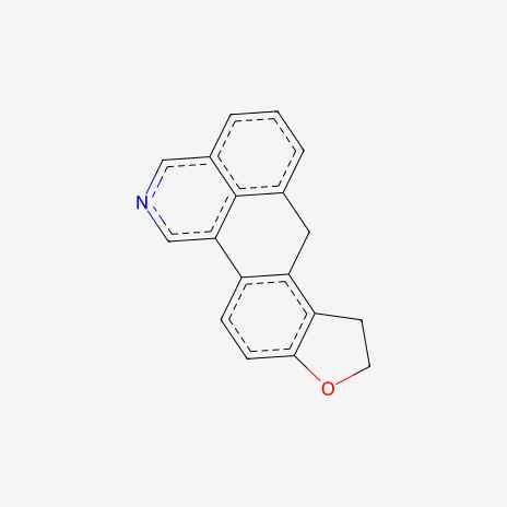 c1cc2c3c(cncc3c1)-c1ccc3c(c1C2)CCO3